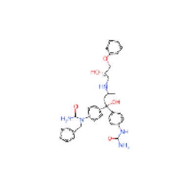 CC(CC(O)(c1ccc(NC(N)=O)cc1)c1ccc(N(Cc2ccccc2)C(N)=O)cc1)NC[C@H](O)COc1ccccc1